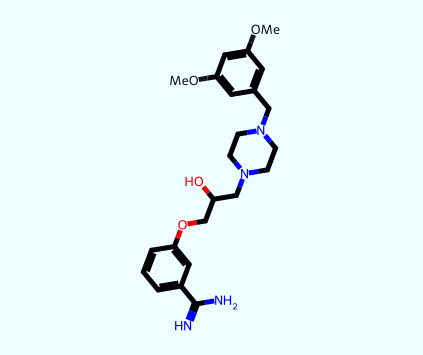 COc1cc(CN2CCN(CC(O)COc3cccc(C(=N)N)c3)CC2)cc(OC)c1